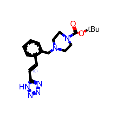 CC(C)(C)OC(=O)N1CCN(Cc2ccccc2/C=C/c2nnn[nH]2)CC1